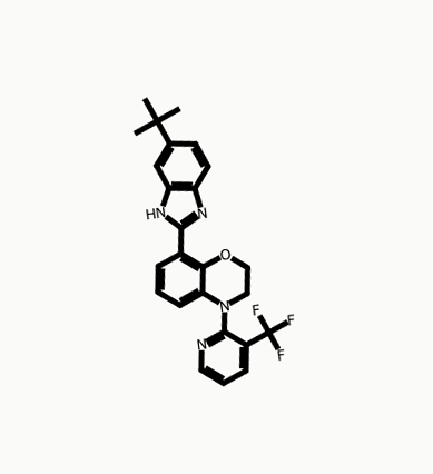 CC(C)(C)c1ccc2nc(-c3cccc4c3OCCN4c3ncccc3C(F)(F)F)[nH]c2c1